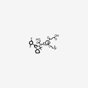 CC(C)(C)[C@H](c1cc(-c2cc(F)ccc2F)cn1-c1ccccc1)N(CC[C@@H](CNC(=O)CCC(=O)O)NC(=O)OCC[Si](C)(C)C)C(=O)CO